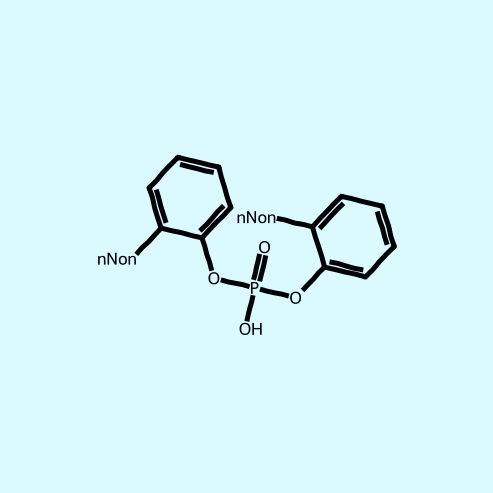 CCCCCCCCCc1ccccc1OP(=O)(O)Oc1ccccc1CCCCCCCCC